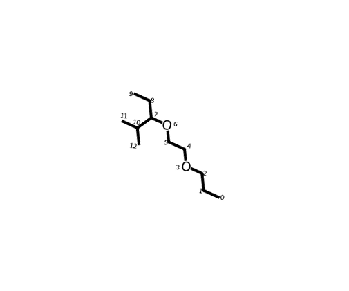 CCCOCCOC(CC)C(C)C